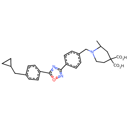 CC1CC(C(=O)O)(C(=O)O)CCN1Cc1ccc(-c2noc(-c3ccc(CC4CC4)cc3)n2)cc1